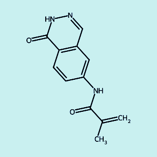 C=C(C)C(=O)Nc1ccc2c(=O)[nH]ncc2c1